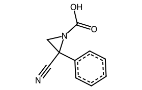 N#CC1(c2ccccc2)CN1C(=O)O